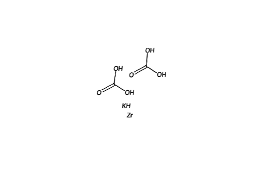 O=C(O)O.O=C(O)O.[KH].[Zr]